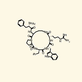 CC(=O)N[C@@H](Cc1ccccc1)C(=O)NC1CCCNC(=O)[C@H](CCCNC(=N)N)NC(=O)[C@H](Cc2c[nH]c3ccccc23)NC(=O)[C@@H](CC(C)C)NC(=O)[C@@H]2CCCN2C1=O